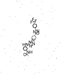 CC(=O)Nc1cccc(Nc2ncnc(N3CCC(c4nc(-c5ccc(C(F)(F)F)cc5)no4)CC3)n2)c1